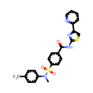 CN(c1ccc(C(F)(F)F)cc1)S(=O)(=O)c1ccc(C(=O)Nc2nc(-c3ccccn3)cs2)cc1